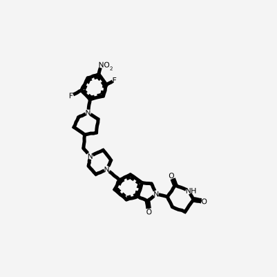 O=C1CCC(N2Cc3cc(N4CCN(CC5CCN(c6cc(F)c([N+](=O)[O-])cc6F)CC5)CC4)ccc3C2=O)C(=O)N1